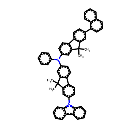 CC1(C)c2cc(-c3cccc4ccccc34)ccc2-c2ccc(N(c3ccccc3)c3ccc4c(c3)C(C)(C)c3cc(-n5c6ccccc6c6ccccc65)ccc3-4)cc21